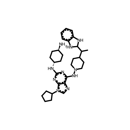 CC(C1CCN(Nc2nc(N[C@H]3CC[C@H](N)CC3)nc3c2ncn3C2CCCC2)CC1)C1Nc2ccccc2N1